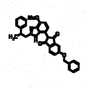 COc1ccc(C2C(=O)c3ccc(OCc4ccccc4)cc3C2=O)c2[nH]c(CC(C)c3ccccc3)nc12